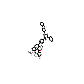 CC1(C)c2ccccc2C2(c3ccccc3Oc3c(-c4ccc(-c5nc(-c6ccccc6)nc(-c6ccc7c(c6)oc6ccccc67)n5)cc4)cccc32)c2ccccc21